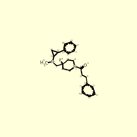 CN(CC1(F)CCN(C(=O)CCc2ccccc2)CC1)C1CC1c1ccccc1